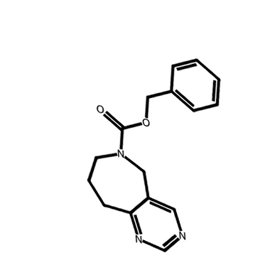 O=C(OCc1ccccc1)N1CCCc2ncncc2C1